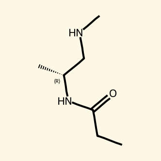 CCC(=O)N[C@H](C)CNC